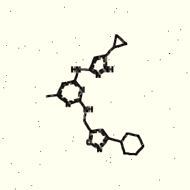 Cc1cc(Nc2cc(C3CC3)[nH]n2)nc(NCc2cc(C3CCCCC3)no2)n1